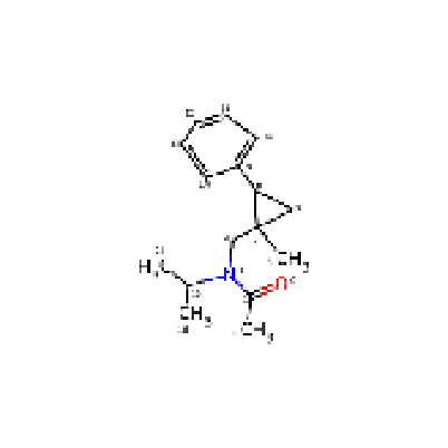 CC(=O)N(CC1(C)CC1c1ccccc1)C(C)C